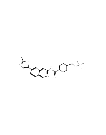 Cc1ncc(-c2ccc3cnc(NC(=O)C4CCC(CO[Si](C)(C)C(C)(C)C)CC4)cc3c2)o1